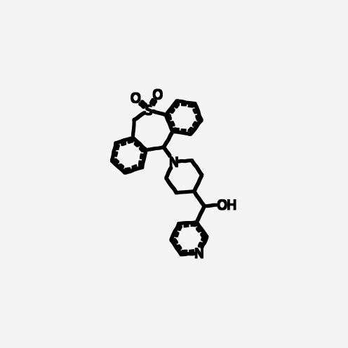 O=S1(=O)Cc2ccccc2C(N2CCC(C(O)c3cccnc3)CC2)c2ccccc21